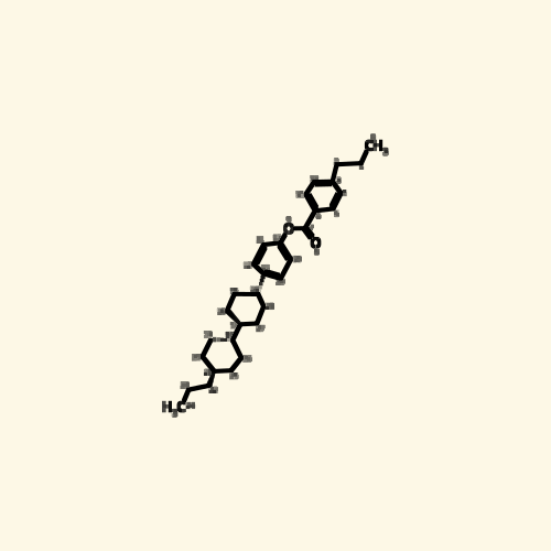 CCCc1ccc(C(=O)Oc2ccc([C@H]3CC[C@H]([C@H]4CC[C@H](CCC)CC4)CC3)cc2)cc1